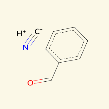 O=Cc1ccccc1.[C-]#N.[H+]